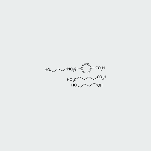 O=C(O)CCCCC(=O)O.O=C(O)c1ccc(C(=O)O)cc1.OCCCCO.OCCCCO